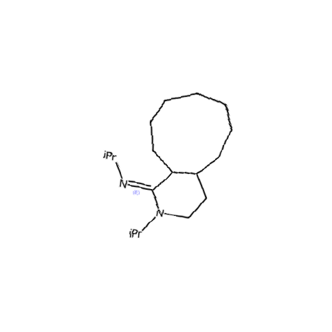 CC(C)/N=C1\C2CCCCCCCC2CCN1C(C)C